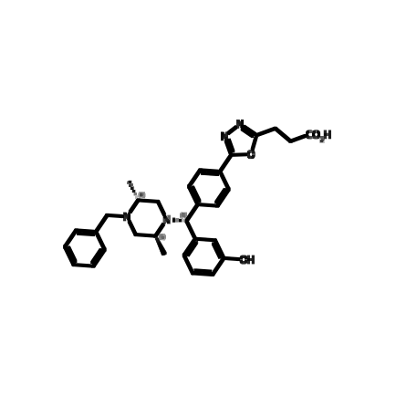 C[C@@H]1CN([C@H](c2ccc(-c3nnc(CCC(=O)O)o3)cc2)c2cccc(O)c2)[C@@H](C)CN1Cc1ccccc1